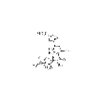 CCOC(=O)c1csc(C(O)CC(C(C)C)N(C)C(=O)C(NC(=O)C(C)(C)N(C)C)C(C)CC)n1